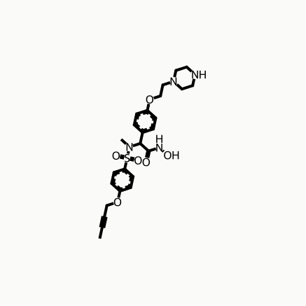 CC#CCOc1ccc(S(=O)(=O)N(C)C(C(=O)NO)c2ccc(OCCN3CCNCC3)cc2)cc1